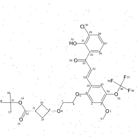 COc1cc(OCCO[C@H]2C[C@@H](C(=O)OC(C)(C)C)C2)c(/C=C/C(=O)c2cccc(Cl)c2O)cc1OC(F)(F)F